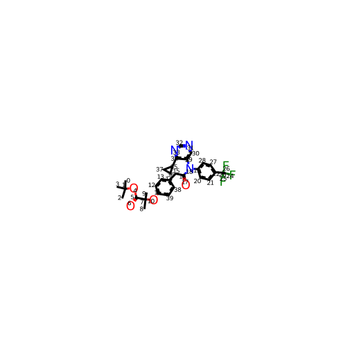 CC(C)(C)OC(=O)C(C)(C)Oc1ccc(CC(=O)N(c2ccc(C(F)(F)F)cc2)c2cncnc2C2CC2)cc1